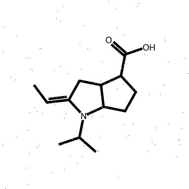 C/C=C1\CC2C(C(=O)O)CCC2N1C(C)C